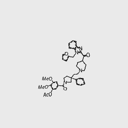 COc1cc(C(=O)N2CCC(CCN3CCC(C(=O)c4nc5ccccc5n4Cc4ccco4)CC3)(c3ccccc3)C2)cc(OC(C)=O)c1OC